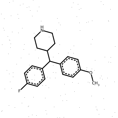 COc1ccc(C(c2ccc(F)cc2)C2CCNCC2)cc1